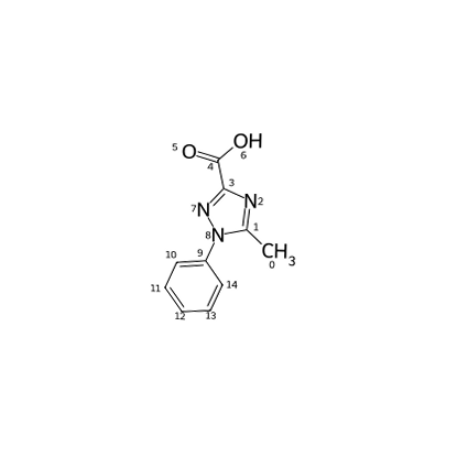 Cc1nc(C(=O)O)nn1-c1ccccc1